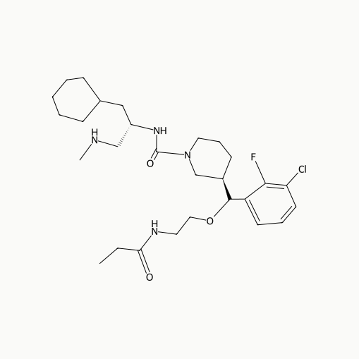 CCC(=O)NCCOC(c1cccc(Cl)c1F)[C@@H]1CCCN(C(=O)N[C@H](CNC)CC2CCCCC2)C1